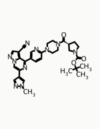 Cn1cc(-c2cn3ncc(C#N)c3c(-c3ccc(N4CCN(C(=O)[C@H]5CCN(C(=O)OC(C)(C)C)C5)CC4)nc3)n2)cn1